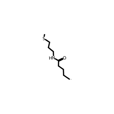 [CH2]CCCC(=O)NCCCSC